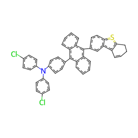 Clc1ccc(N(c2ccc(Cl)cc2)c2ccc(-c3c4ccccc4c(-c4ccc5sc6c(c5c4)C=CCC6)c4ccccc34)cc2)cc1